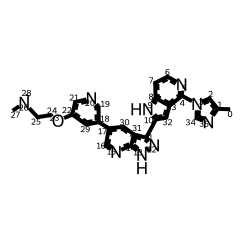 Cc1cn(-c2nccc3[nH]c(-c4n[nH]c5ncc(-c6cncc(OCCN(C)C)c6)cc45)cc23)cn1